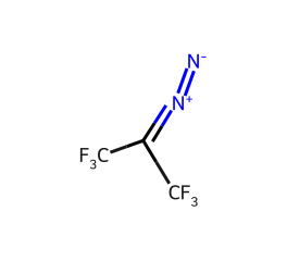 [N-]=[N+]=C(C(F)(F)F)C(F)(F)F